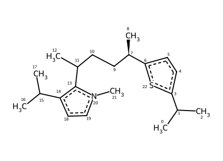 CC(C)c1ccc([C@H](C)CCC(C)c2c(C(C)C)ccn2C)s1